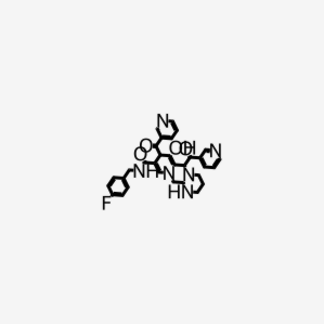 O=C(NCc1ccc(F)cc1)C1=CN2CC3NCCCN3C(C(=O)c3cccnc3)C2=C(O)C1C(=O)c1cccnc1